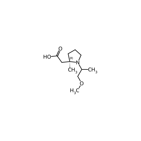 COCC(C)N1CCC[C@]1(C)CC(=O)O